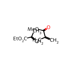 C=C(C)C(=O)OC.C=C(C)C(=O)OCC